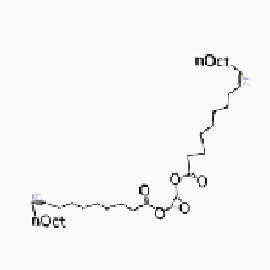 CCCCCCCC/C=C\CCCCCCCC(=O)OC1OC1OC(=O)CCCCCCC/C=C\CCCCCCCC